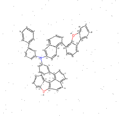 c1ccc(-c2cccc(N(c3cccc(-c4cccc5ccc6oc7ccccc7c6c45)c3)c3ccc4c(-c5cccc6c5oc5ccccc56)cccc4c3)c2)cc1